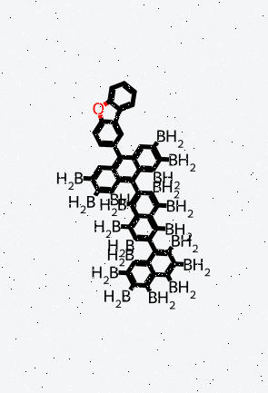 Bc1cc2c(-c3ccc4oc5ccccc5c4c3)c3cc(B)c(B)c(B)c3c(-c3c(B)c(B)c4c(B)c(-c5c(B)c(B)c(B)c6c(B)c(B)c(B)c(B)c56)c(B)c(B)c4c3B)c2c(B)c1B